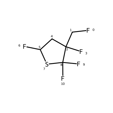 FCC1(F)CC(F)SC1(F)F